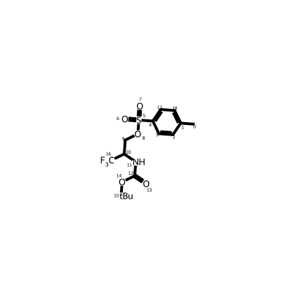 Cc1ccc(S(=O)(=O)OCC(NC(=O)OC(C)(C)C)C(F)(F)F)cc1